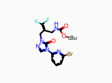 CC(C)(C)OC(=O)NCC(Cn1ncn(-c2cccc(Br)n2)c1=O)=C(F)F